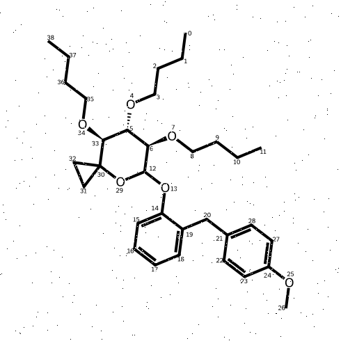 CCCCO[C@@H]1[C@@H](OCCCC)C(Oc2ccccc2Cc2ccc(OC)cc2)OC2(CC2)[C@H]1OCCCC